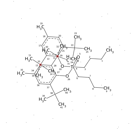 CCC[CH2][Ti](=[O])([CH2]CCC)([O]c1c(C(C)(C)C)cc(C)cc1C(C)(C)C)[O]c1c(C(C)(C)C)cc(C)cc1C(C)(C)C